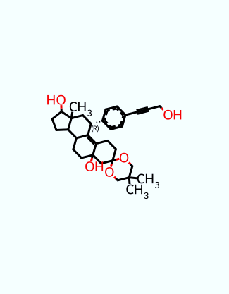 CC1(C)COC2(CCC3=C4C(CCC3(O)C2)C2CCC(O)C2(C)C[C@@H]4c2ccc(C#CCO)cc2)OC1